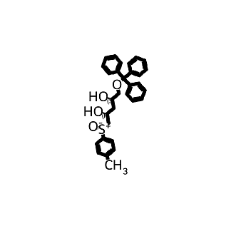 Cc1ccc([S+]([O-])C[C@H](O)C[C@H](O)COC(c2ccccc2)(c2ccccc2)c2ccccc2)cc1